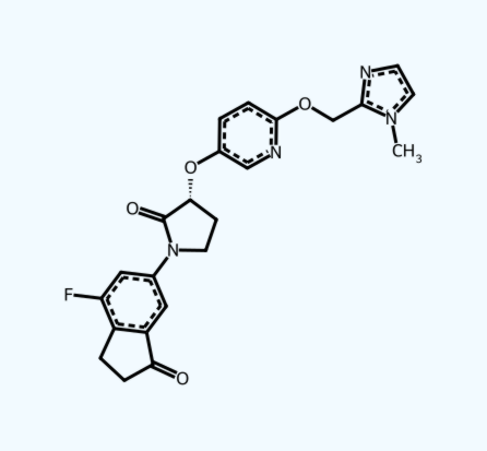 Cn1ccnc1COc1ccc(O[C@@H]2CCN(c3cc(F)c4c(c3)C(=O)CC4)C2=O)cn1